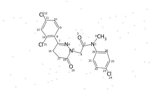 CN(C(=O)CN1N=C(c2ccc(Cl)cc2Cl)CCC1=O)c1ccc(Cl)cc1